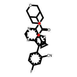 N#Cc1cc(F)ccc1-c1csc2c(OC3C4COCC3CN(C(=O)OC3CC3)C4)ncnc12